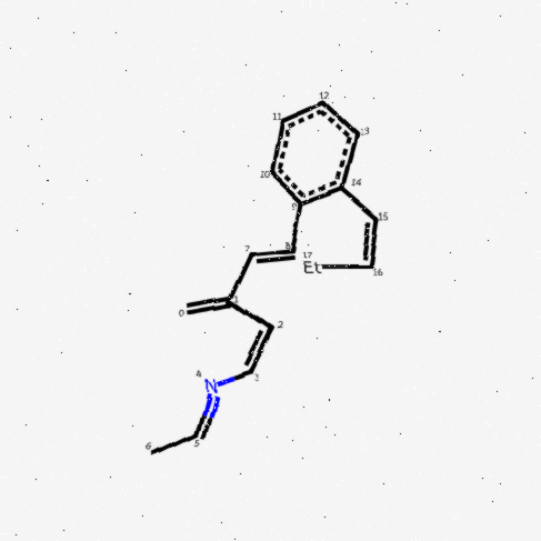 C=C(/C=C\N=C\C)/C=C/c1ccccc1/C=C\CC